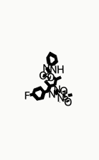 CC(C)c1nc(N(C)S(C)(=O)=O)nc(-c2ccc(F)cc2)c1CS(=O)(=O)c1nc2ccccc2[nH]1